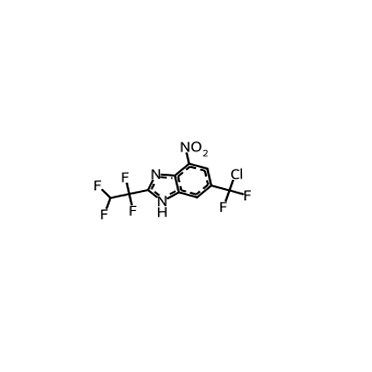 O=[N+]([O-])c1cc(C(F)(F)Cl)cc2[nH]c(C(F)(F)C(F)F)nc12